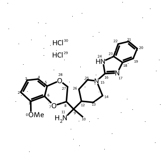 COc1cccc2c1OC(C(C)(N)C1CCN(c3nc4ccccc4[nH]3)CC1)CO2.Cl.Cl